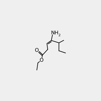 CCOC(=O)C/C=C(/N)C(C)CC